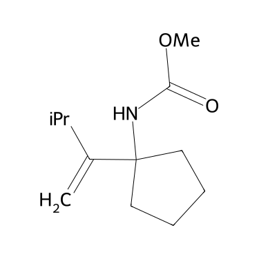 C=C(C(C)C)C1(NC(=O)OC)CCCC1